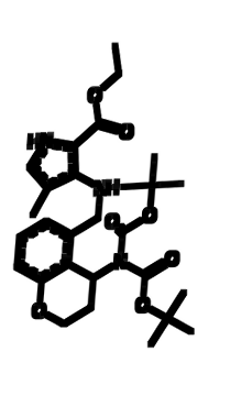 CCOC(=O)c1[nH]cc(C)c1NCc1cccc2c1C(N(C(=O)OC(C)(C)C)C(=O)OC(C)(C)C)CCO2